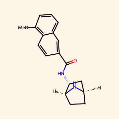 CNc1cccc2cc(C(=O)N[C@@H]3C[C@H]4CC[C@@H]3N4)ccc12